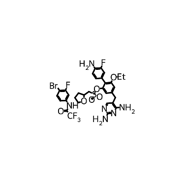 CCOc1cc(Cc2cnc(N)nc2N)cc(OS(=O)(=O)CC2CCCO2)c1-c1ccc(N)c(F)c1.O=C(Nc1ccc(Br)c(F)c1)C(F)(F)F